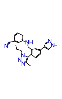 CCCn1nnc(C)c1-c1ccc(-c2cnn(C)c2)cc1CNc1cccc(C#N)c1